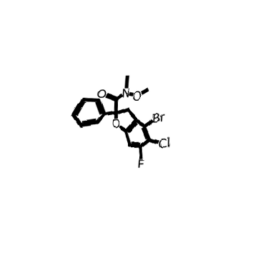 CON(C)C(=O)C1(c2ccccc2)Cc2c(cc(F)c(Cl)c2Br)O1